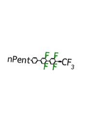 CCCCCc1ccc(-c2cc(F)c(-c3cc(F)c(C#CC(F)(F)F)c(F)c3)c(F)c2)cc1